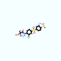 C[S+]([O-])c1ccc(S(=O)(=O)c2ccc(NC(=O)[C@@](C)(O)C(F)(F)F)c(Cl)c2)cc1F